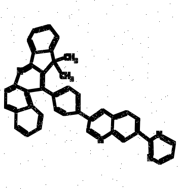 CC1(C)c2ccccc2-c2nc3ccc4ccccc4c3c(-c3ccc(-c4cnc5cc(-c6ncccn6)ccc5c4)cc3)c21